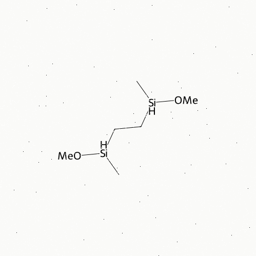 CO[SiH](C)CC[SiH](C)OC